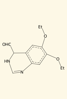 CCOc1cc2c(cc1OCC)C(C=O)NC=N2